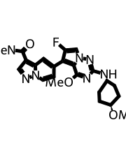 CNC(=O)c1cnn2ccc(-c3c(F)cn4nc(N[C@H]5CC[C@@H](OC)CC5)nc(OC)c34)cc12